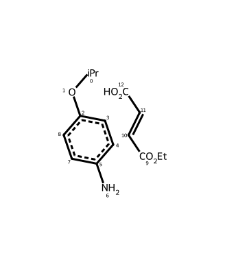 CC(C)Oc1ccc(N)cc1.CCOC(=O)C=CC(=O)O